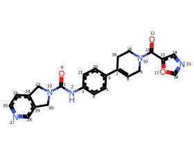 O=C(Nc1ccc(C2=CCN(C(=O)c3cnco3)CC2)cc1)N1Cc2ccncc2C1